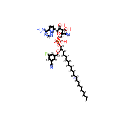 CCCCCCCC/C=C/CCCCCCCCCC[C@H](COP(=O)(O)OC[C@@]1(C#N)O[C@@H](c2ccc3c(N)ncnn23)[C@H](O)[C@@H]1O)OCc1cc(F)cc(C#N)c1